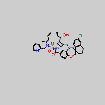 C=CC[C@H](C)N(Cc1ccccn1)S(=O)(=O)NC(=O)c1ccc2c(c1)N(C[C@@H]1CC[C@H]1[C@@H](O)C=C)C[C@@]1(CCCc3cc(Cl)ccc31)CO2